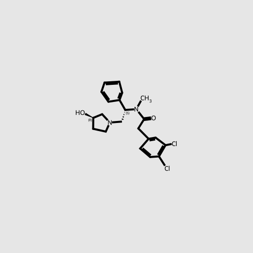 CN(C(=O)Cc1ccc(Cl)c(Cl)c1)[C@H](CN1CC[C@@H](O)C1)c1ccccc1